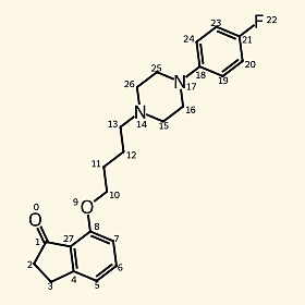 O=C1CCc2cccc(OCCCCN3CCN(c4ccc(F)cc4)CC3)c21